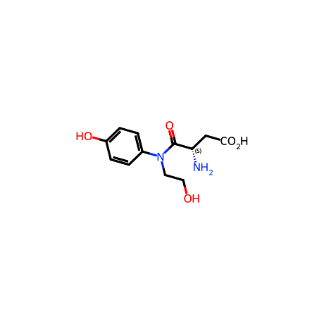 N[C@@H](CC(=O)O)C(=O)N(CCO)c1ccc(O)cc1